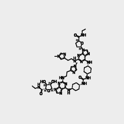 CCNC(=O)[C@@H]1CC[C@H](n2cnc3c(N[C@H]4CC[C@H](NC(=O)N[C@H]5CC[C@H](Nc6nc(NCCc7cn(C)cn7)nc7c6ncn7[C@@H]6O[C@H](C(=O)NCC)[C@@H](O)[C@H]6O)CC5)CC4)nc(NCCc4cn(C)cn4)nc32)O1